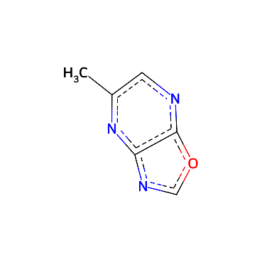 Cc1cnc2ocnc2n1